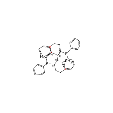 CC1=CCC[C@H](P(c2ccccc2)c2ccccc2)[C@@H]1[C@@H]1C(P(c2ccccc2)c2ccccc2)=CCC[C@@H]1C